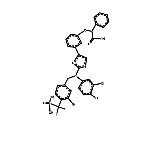 O=C(O)C(Oc1cccc(-c2csc(N(Cc3ccc(C(F)(F)P(=O)(O)O)c(Br)c3)c3ccc(Cl)c(Cl)c3)n2)c1)c1ccccc1